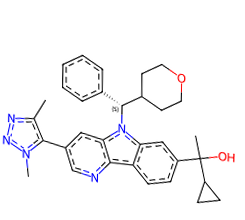 Cc1nnn(C)c1-c1cnc2c3ccc(C(C)(O)C4CC4)cc3n([C@H](c3ccccc3)C3CCOCC3)c2c1